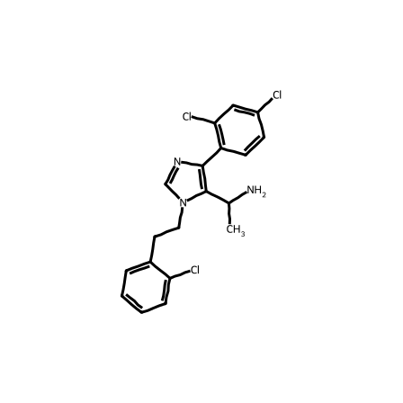 CC(N)c1c(-c2ccc(Cl)cc2Cl)ncn1CCc1ccccc1Cl